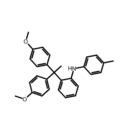 COc1ccc(C(C)(c2ccc(OC)cc2)c2ccccc2Nc2ccc(C)cc2)cc1